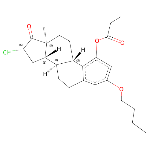 CCCCOc1cc2c(c(OC(=O)CC)c1)[C@H]1CC[C@]3(C)C(=O)[C@@H](Cl)C[C@H]3[C@@H]1CC2